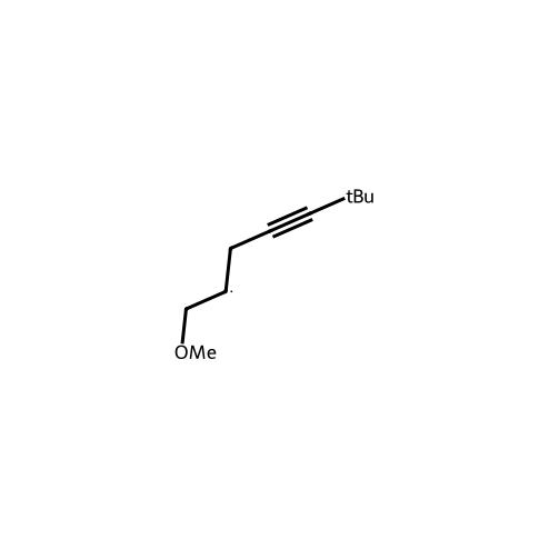 COC[CH]CC#CC(C)(C)C